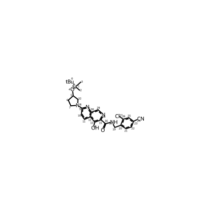 CC(C)(C)[Si](C)(C)OC1CCN(c2ccc3c(O)c(C(=O)NCc4ccc(C#N)cc4Cl)ncc3n2)C1